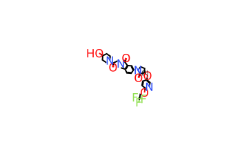 O=C(CN1Cc2ccc(N3CC[C@@H](Oc4ccc(OCC(F)(F)F)nc4)C3=O)cc2C1=O)N1CCC(O)CC1